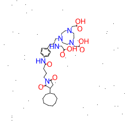 O=C(O)CNC(Cc1ccc(NC(=O)CCCN2C(=O)CC(C3CCCCCCCC3)C2=O)cc1)CN1CCN(CC(=O)O)CCN(CC(=O)O)CC1